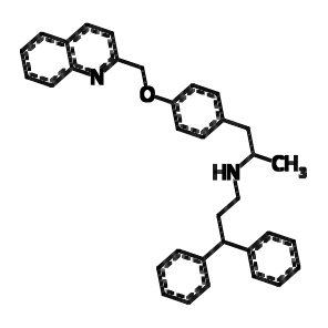 CC(Cc1ccc(OCc2ccc3ccccc3n2)cc1)NCCC(c1ccccc1)c1ccccc1